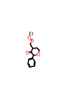 CCOOCC1CCOC(c2ccccc2)C1=O